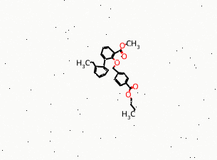 CCCCOC(=O)c1ccc(COc2c(C(=O)OC)cccc2-c2ccccc2CC)cc1